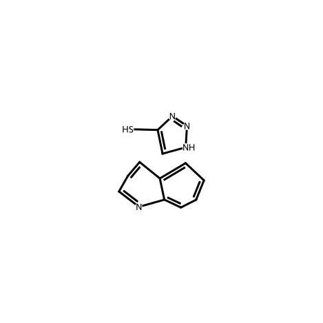 Sc1c[nH]nn1.c1ccc2ncccc2c1